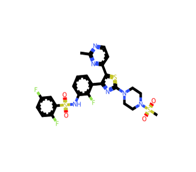 Cc1nccc(-c2sc(N3CCN(S(C)(=O)=O)CC3)nc2-c2cccc(NS(=O)(=O)c3cc(F)ccc3F)c2F)n1